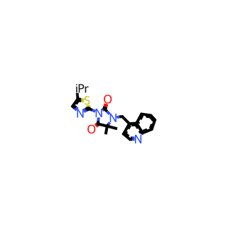 CC(C)c1cnc(N2C(=O)N(Cc3ccnc4ccccc34)C(C)(C)C2=O)s1